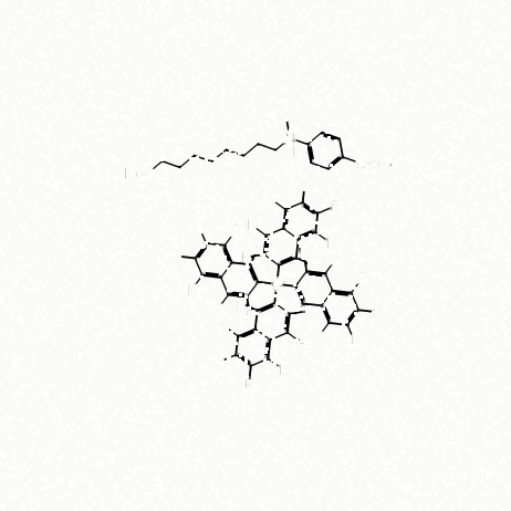 CCCCCCCCCCCCCCCCCC[NH+](C)c1ccc(CCCCCC)cc1.Fc1c(F)c(F)c2c(F)c([B-](c3c(F)c(F)c4c(F)c(F)c(F)c(F)c4c3F)(c3c(F)c(F)c4c(F)c(F)c(F)c(F)c4c3F)c3c(F)c(F)c4c(F)c(F)c(F)c(F)c4c3F)c(F)c(F)c2c1F